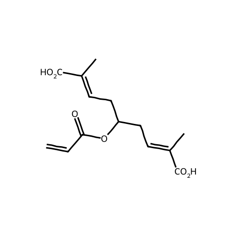 C=CC(=O)OC(CC=C(C)C(=O)O)CC=C(C)C(=O)O